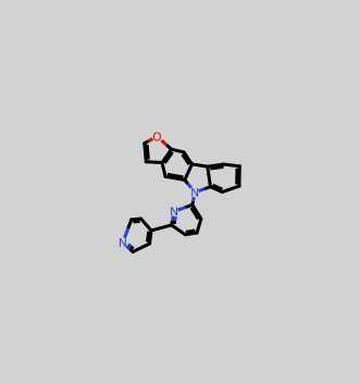 c1cc(-c2ccncc2)nc(-n2c3ccccc3c3cc4occc4cc32)c1